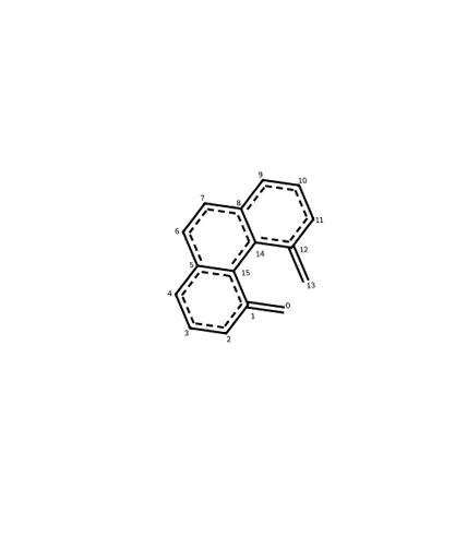 C=c1cccc2ccc3cccc(=C)c3c12